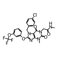 CNC(=O)Cn1c(=O)c2c(nc(Oc3cccc(OC(F)(F)F)c3)n2Cc2ccc(Cl)cc2)n(C)c1=O